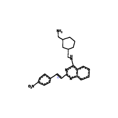 NCC1CCCC(CNc2nc(/C=C/c3ccc([N+](=O)[O-])cc3)nc3ccccc23)C1